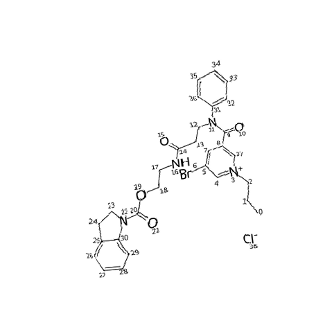 CCC[n+]1cc(Br)cc(C(=O)N(CCC(=O)NCCOC(=O)N2CCc3ccccc32)c2ccccc2)c1.[Cl-]